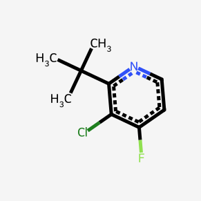 CC(C)(C)c1nccc(F)c1Cl